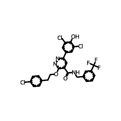 O=C(NCc1cccc(C(F)(F)F)c1)c1cc(-c2cc(Cl)c(O)c(Cl)c2)nnc1OCCc1ccc(Cl)cc1